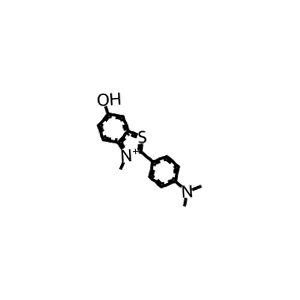 CN(C)c1ccc(-c2sc3cc(O)ccc3[n+]2C)cc1